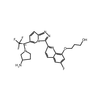 NC1CCN([C@H](c2ccc3nnc(-c4ccc5cc(F)cc(OCCCO)c5n4)n3c2)C(F)(F)F)C1